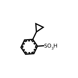 O=S(=O)(O)c1ccccc1C1CC1